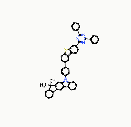 CC1(C)c2ccccc2-c2cc3c4ccccc4n(-c4ccc(-c5ccc6sc7cc(-c8nc(-c9ccccc9)nc(-c9ccccc9)n8)ccc7c6c5)cc4)c3cc21